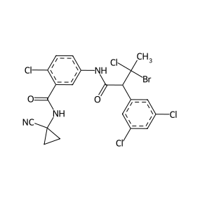 CC(Cl)(Br)C(C(=O)Nc1ccc(Cl)c(C(=O)NC2(C#N)CC2)c1)c1cc(Cl)cc(Cl)c1